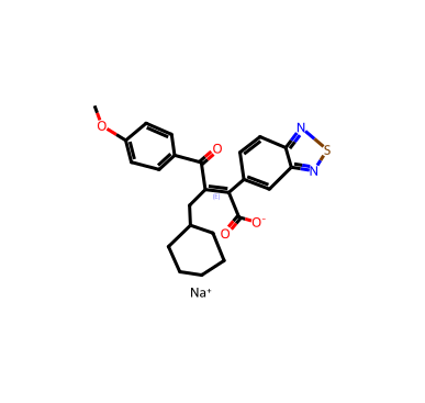 COc1ccc(C(=O)/C(CC2CCCCC2)=C(/C(=O)[O-])c2ccc3nsnc3c2)cc1.[Na+]